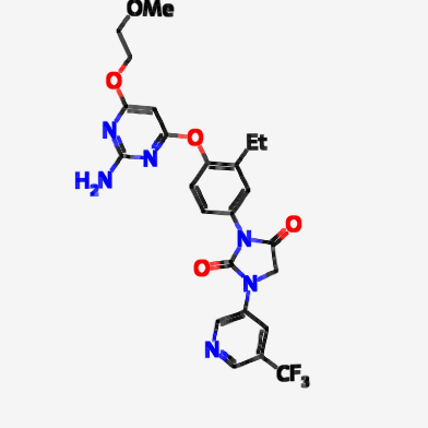 CCc1cc(N2C(=O)CN(c3cncc(C(F)(F)F)c3)C2=O)ccc1Oc1cc(OCCOC)nc(N)n1